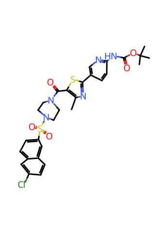 Cc1nc(-c2ccc(NC(=O)OC(C)(C)C)nc2)sc1C(=O)N1CCN(S(=O)(=O)c2ccc3cc(Cl)ccc3c2)CC1